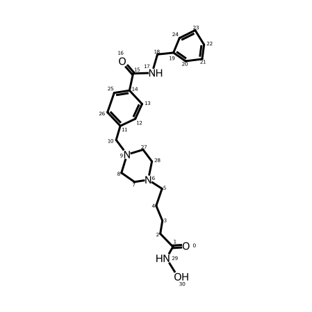 O=C(CCCCN1CCN(Cc2ccc(C(=O)NCc3ccccc3)cc2)CC1)NO